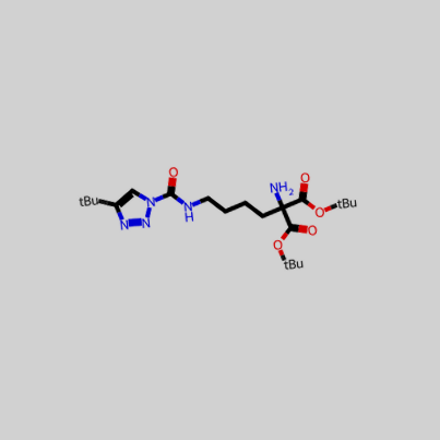 CC(C)(C)OC(=O)C(N)(CCCCNC(=O)n1cc(C(C)(C)C)nn1)C(=O)OC(C)(C)C